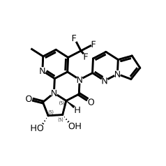 Cc1cc(C(F)(F)F)c2c(n1)N1C(=O)[C@@H](O)[C@@H](O)[C@H]1C(=O)N2c1ccc2cccn2n1